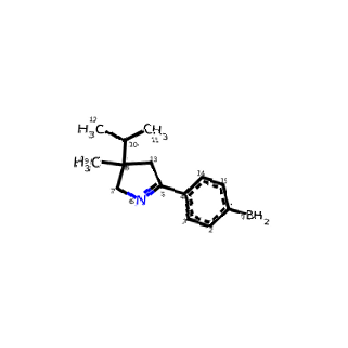 Bc1ccc(C2=NCC(C)(C(C)C)C2)cc1